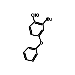 CC(C)(C)c1cc(Oc2ccccc2)ccc1C=O